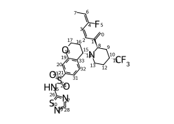 C=C(/C=C\C(F)=C/C)[C@H]1C[C@H](C(F)(F)F)CCN1[C@H]1CCOc2cc(S(=O)(=O)Nc3ncns3)ccc21